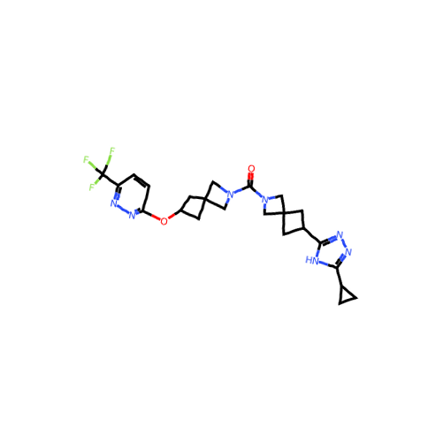 O=C(N1CC2(CC(Oc3ccc(C(F)(F)F)nn3)C2)C1)N1CC2(CC(c3nnc(C4CC4)[nH]3)C2)C1